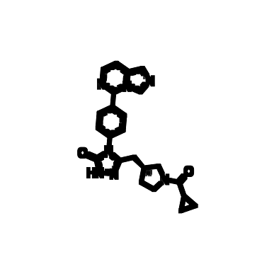 O=C(C1CC1)N1CC[C@@H](Cc2n[nH]c(=O)n2-c2ccc(-c3nccc4cncn34)cc2)C1